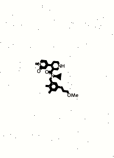 COCCCc1cc(C)c(C)c(CN(C(=O)C2CNCCC2c2ccn(C)c(=O)c2)C2CC2)c1